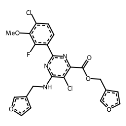 COc1c(Cl)ccc(-c2nc(NCc3ccoc3)c(Cl)c(C(=O)OCc3ccoc3)n2)c1F